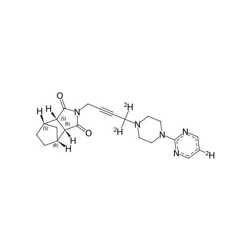 [2H]c1cnc(N2CCN(C([2H])([2H])C#CCN3C(=O)[C@@H]4[C@@H]5CC[C@@H](C5)[C@@H]4C3=O)CC2)nc1